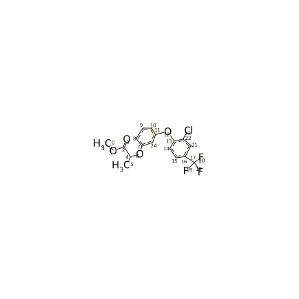 COC(=O)C(C)Oc1cccc(Oc2ccc(C(F)(F)F)cc2Cl)c1